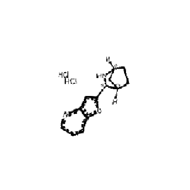 Cl.Cl.c1cnc2cc([C@H]3N[C@@H]4CC[C@H]3C4)oc2c1